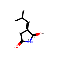 CC(C)/C=C1\CC(=O)NC1=O